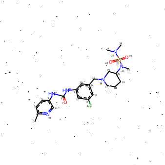 Cc1ccc(NC(=O)Nc2cc(F)cc(CN3CCCC(N(C)S(=O)(=O)N(C)C)C3)c2)cn1